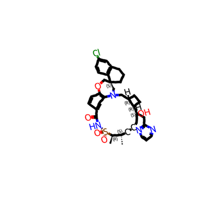 C[C@@H]1[C@@H](C)CCC[C@](O)(Cc2ncccn2)[C@@H]2CC[C@H]2CN2C[C@@]3(CCCc4cc(Cl)ccc43)COc3ccc(cc32)C(=O)NS1(=O)=O